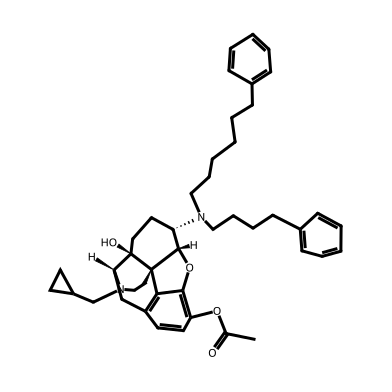 CC(=O)Oc1ccc2c3c1O[C@H]1[C@@H](N(CCCCCCc4ccccc4)CCCCc4ccccc4)CC[C@@]4(O)[C@@H](C2)N(CC2CC2)CC[C@]314